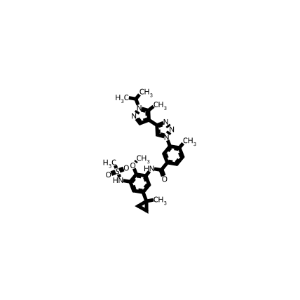 COc1c(NC(=O)c2ccc(C)c(-n3cc(-c4cnn(C(C)C)c4C)nn3)c2)cc(C2(C)CC2)cc1NS(C)(=O)=O